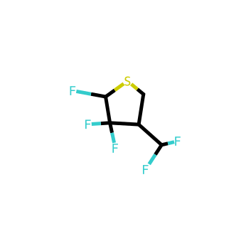 FC(F)C1CSC(F)C1(F)F